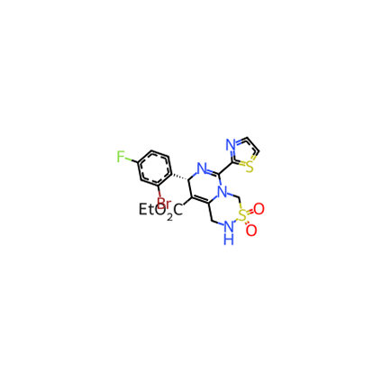 CCOC(=O)C1=C2CNS(=O)(=O)CN2C(c2nccs2)=N[C@H]1c1ccc(F)cc1Br